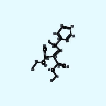 CCOC(=O)C(=CN(C)c1ccccc1)C(=O)OCC